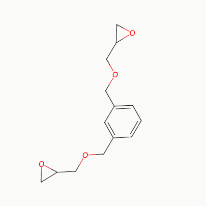 c1cc(COCC2CO2)cc(COCC2CO2)c1